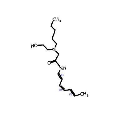 C/C=C/C=C\C=C\NC(=O)CN(CCO)CCCCC